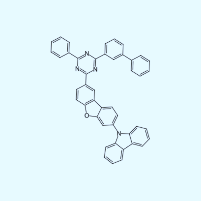 c1ccc(-c2cccc(-c3nc(-c4ccccc4)nc(-c4ccc5oc6cc(-n7c8ccccc8c8ccccc87)ccc6c5c4)n3)c2)cc1